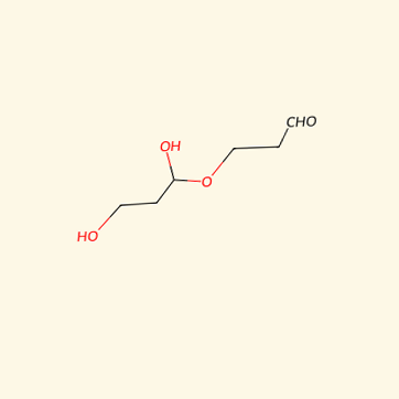 O=CCCOC(O)CCO